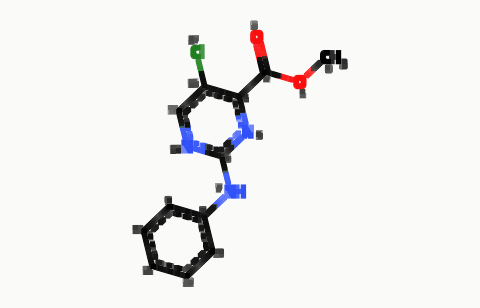 COC(=O)c1nc(Nc2ccccc2)ncc1Cl